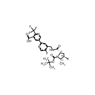 C[C@H]1[C@H](F)C[C@@H](C(=O)NCc2cc(-c3cnc(C(F)(F)F)c(C(=O)O)c3)ncc2F)N1C(=O)OC(C)(C)C